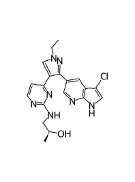 CCn1cc(-c2ccnc(NC[C@H](C)O)n2)c(-c2cnc3[nH]cc(Cl)c3c2)n1